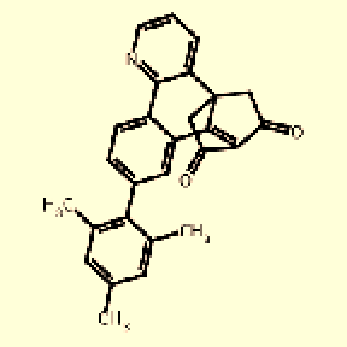 Cc1cc(C)c(-c2ccc3c(c2)C2=C4C(=O)CC2(CC4=O)c2cccnc2-3)c(C)c1